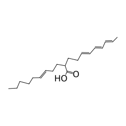 C/C=C/C=C/C=C/CCC(CC/C=C/CCCCC)C(=O)O